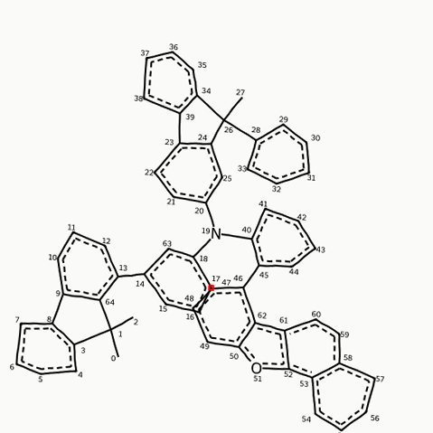 CC1(C)c2ccccc2-c2cccc(-c3cccc(N(c4ccc5c(c4)C(C)(c4ccccc4)c4ccccc4-5)c4ccccc4-c4cccc5oc6c7ccccc7ccc6c45)c3)c21